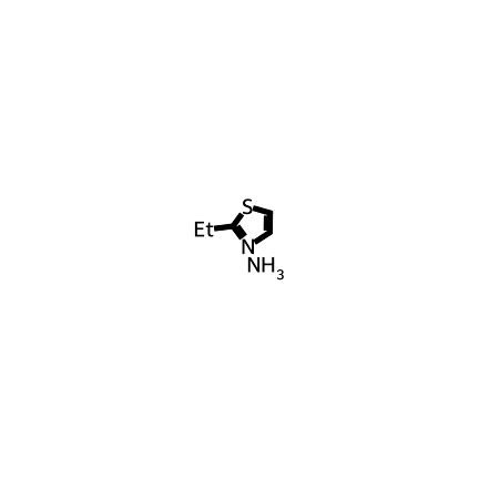 CCc1nccs1.N